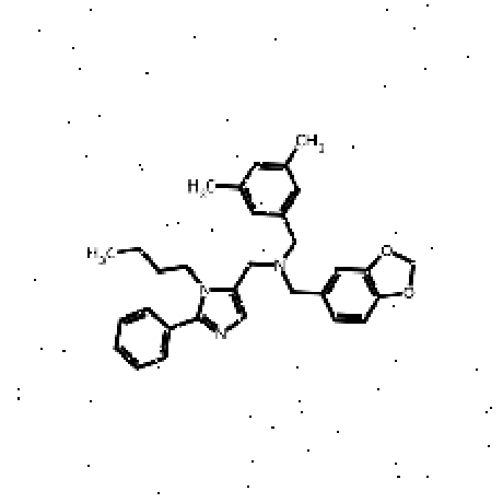 CCCCn1c(CN(Cc2cc(C)cc(C)c2)Cc2ccc3c(c2)OCO3)cnc1-c1ccccc1